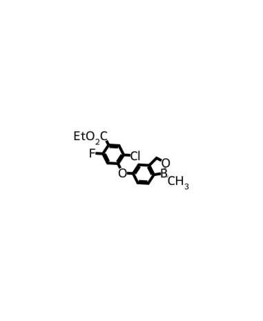 CCOC(=O)c1cc(Cl)c(Oc2ccc3c(c2)COB3C)cc1F